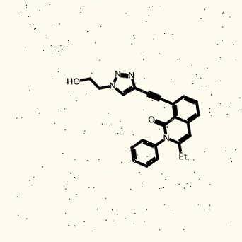 CCc1cc2cccc(C#Cc3cn(CCO)nn3)c2c(=O)n1-c1ccccc1